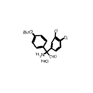 CC(C)COc1ccc(C(N)(C=O)c2ccc(Cl)c(Cl)c2)cc1.Cl